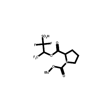 CC(C)(C)OC(=O)N1CCCC1C(=O)OC(C(F)(F)F)C(F)(F)S(=O)(=O)O